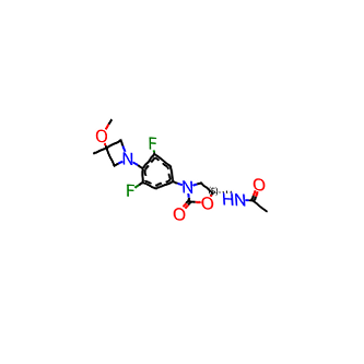 COC1(C)CN(c2c(F)cc(N3C[C@H](CNC(C)=O)OC3=O)cc2F)C1